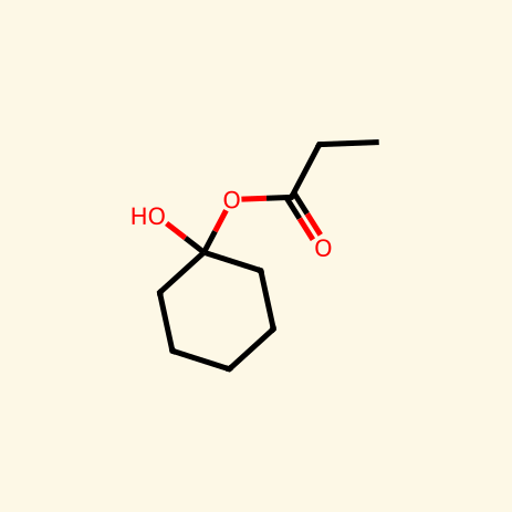 CCC(=O)OC1(O)CCCCC1